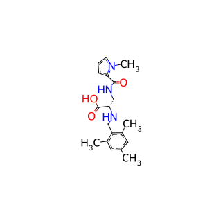 Cc1cc(C)c(CN[C@@H](CNC(=O)c2cccn2C)C(=O)O)c(C)c1